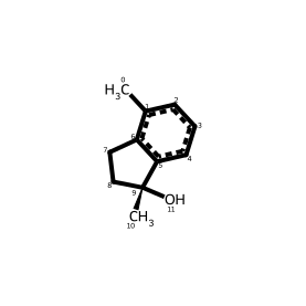 Cc1cccc2c1CC[C@@]2(C)O